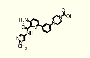 Cn1cc(NC(=O)c2nc(-c3cccc(N4CCN(C(=O)O)CC4)c3)ccc2N)cn1